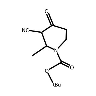 CC1C(C#N)C(=O)CCN1C(=O)OC(C)(C)C